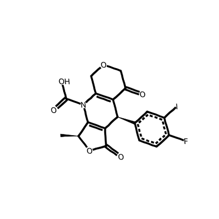 C[C@@H]1OC(=O)C2=C1N(C(=O)O)C1=C(C(=O)COC1)[C@H]2c1ccc(F)c(I)c1